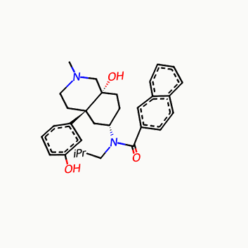 CC(C)CN(C(=O)c1ccc2ccccc2c1)[C@H]1CC[C@]2(O)CN(C)CC[C@@]2(c2cccc(O)c2)C1